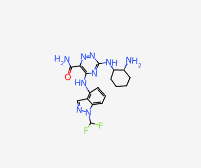 NC(=O)c1nnc(N[C@@H]2CCCC[C@@H]2N)nc1Nc1cccc2c1cnn2C(F)F